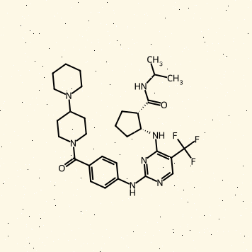 CC(C)NC(=O)[C@H]1CCC[C@H]1Nc1nc(Nc2ccc(C(=O)N3CCC(N4CCCCC4)CC3)cc2)ncc1C(F)(F)F